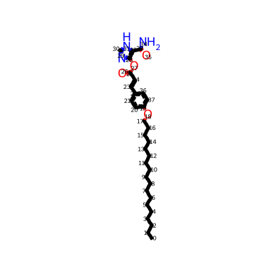 CCCCCCCCCCCCCCCCCCOc1ccc(C=CC(=O)Oc2nc[nH]c2C(N)=O)cc1